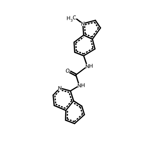 Cn1ccc2cc(NC(=O)Nc3nccc4ccccc34)ccc21